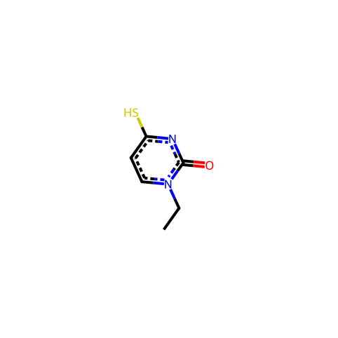 CCn1ccc(S)nc1=O